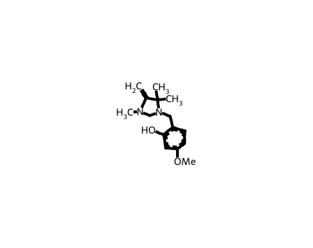 C=C1N(C)CN(Cc2ccc(OC)cc2O)C1(C)C